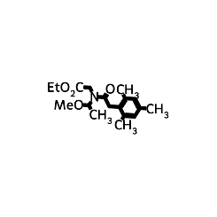 CCOC(=O)CN(C(=O)Cc1c(C)cc(C)cc1C)C(C)OC